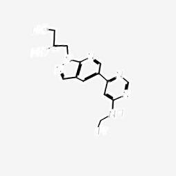 CC(C)CNc1cc(-c2cnc3c(cnn3C[C@@H](O)CO)c2)ncn1